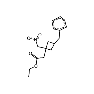 CCOC(=O)CC1(C[N+](=O)[O-])CC(Cc2ccccc2)C1